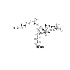 CCCCCCCCCCCCCCCC(O)OC[C@H](COP(=O)(O)OCC[N+](C)(C)C)OC(O)CCCCCCCCCCCCCCC